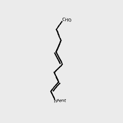 CCCCCC=CCC=CCCC=O